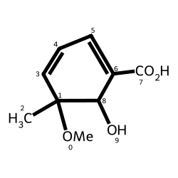 COC1(C)C=CC=C(C(=O)O)C1O